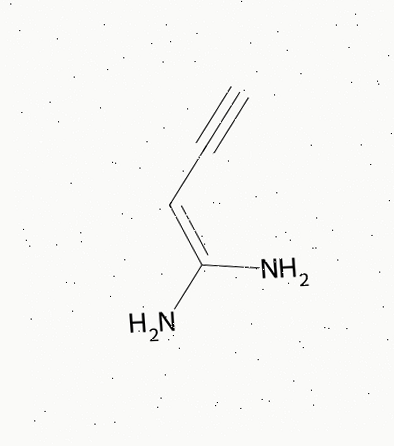 C#CC=C(N)N